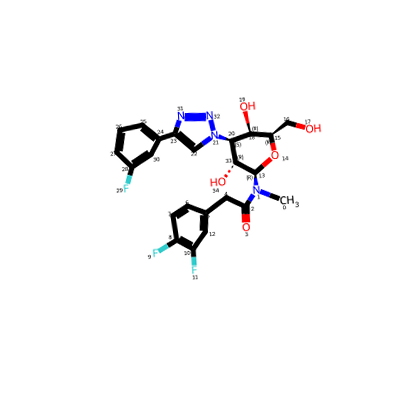 CN(C(=O)Cc1ccc(F)c(F)c1)[C@@H]1O[C@H](CO)[C@H](O)[C@H](n2cc(-c3cccc(F)c3)nn2)[C@H]1O